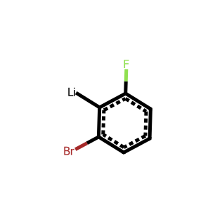 [Li][c]1c(F)cccc1Br